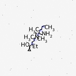 C\C=C/C=C(C)/C(CN)=N/N(C)/C(C)=C/C=C(\CC)C(O)=C1CC1